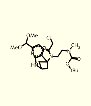 COC(OC)c1ccc2c(n1)NC1CC2(N(CCN(C)C(=O)OC(C)(C)C)C(=O)CCl)C1